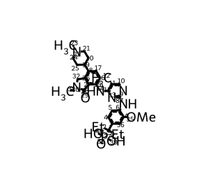 CCC(CC)(c1ccc(Nc2ncc(C(F)(F)F)c(Nc3ccc(C4CCN(C)CC4)c4c3C(=O)N(C)C4)n2)c(OC)c1)P(=O)(O)O